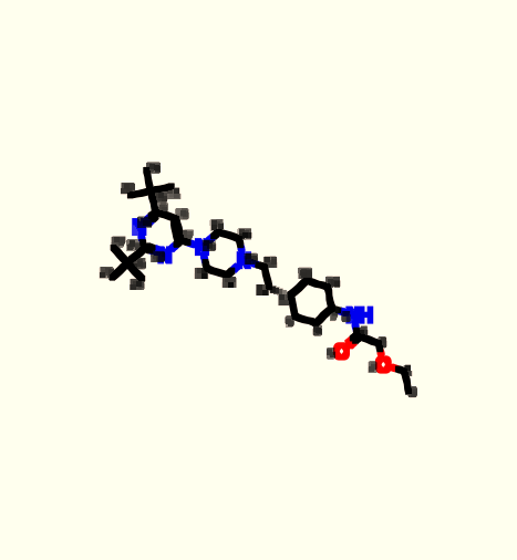 CCOCC(=O)N[C@H]1CC[C@H](CCN2CCN(c3cc(C(C)(C)C)nc(C(C)(C)C)n3)CC2)CC1